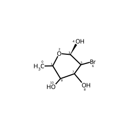 CC1O[C@@H](O)C(Br)C(O)C1O